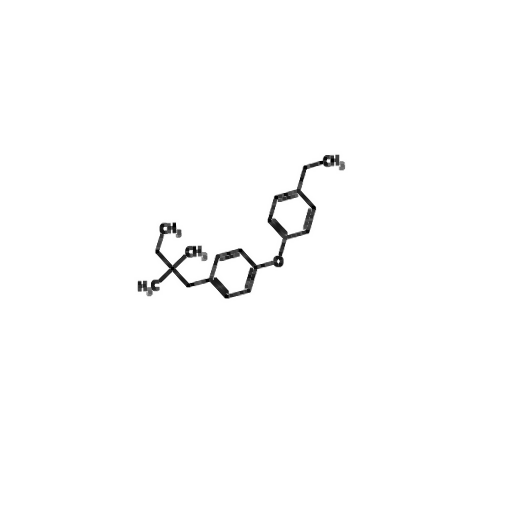 CCc1ccc(Oc2ccc(CC(C)(C)CC)cc2)cc1